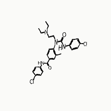 CCN(CC)CCN(C(=O)Nc1ccc(Cl)cc1)c1ccc(C(=O)Nc2ccc(Cl)cc2)cc1C